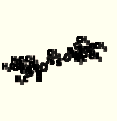 COC(=O)N[C@H](C(=O)N1C[C@@H](C)C[C@H]1c1nc2cc(C(=S)Cc3sc(-c4ccc5[nH]c([C@@H]6C[C@H](C)CN6C(=O)[C@H](C(C)C)N(C)C(=O)OC)nc5c4)cc3C)ccc2[nH]1)C(C)C